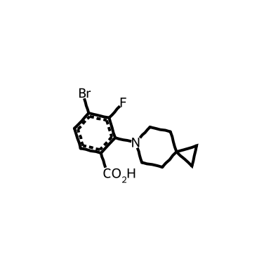 O=C(O)c1ccc(Br)c(F)c1N1CCC2(CC1)CC2